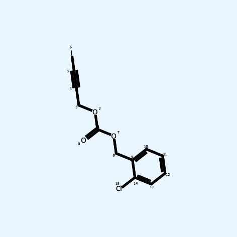 O=C(OCC#CI)OCc1ccccc1Cl